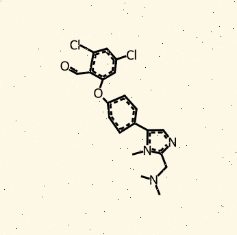 CN(C)Cc1ncc(-c2ccc(Oc3cc(Cl)cc(Cl)c3C=O)cc2)n1C